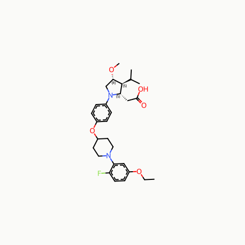 CCOc1ccc(F)c(N2CCC(Oc3ccc(N4C[C@H](OC)[C@@H](C(C)C)[C@@H]4CC(=O)O)cc3)CC2)c1